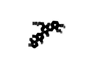 Cc1c(Cn2c(=O)c(OC(=O)O)cn(-c3cc(F)c(N4CCNC4=O)c(F)c3)c2=O)cccc1C(F)(F)F